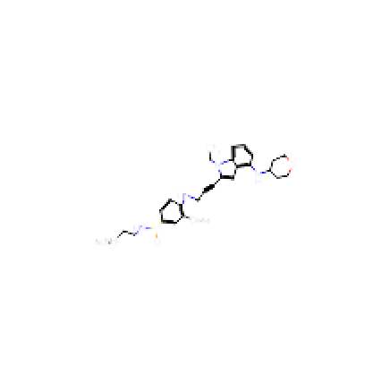 COc1cc([S+]([O-])NCCNC(C)=O)ccc1NCC#Cc1cc2c(NC3CCOCC3)cccc2n1CC(F)(F)F